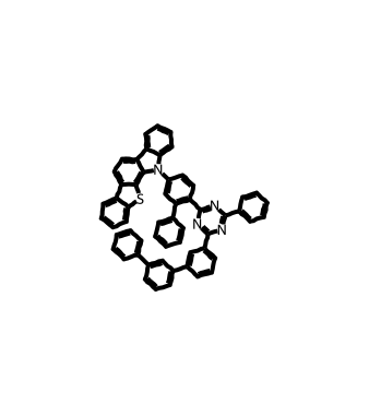 c1ccc(-c2cccc(-c3cccc(-c4nc(-c5ccccc5)nc(-c5ccc(-n6c7ccccc7c7ccc8c9ccccc9sc8c76)cc5-c5ccccc5)n4)c3)c2)cc1